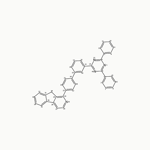 c1ccc(-c2nc(-c3ccccc3)nc(-c3cccc(-c4ccc(-c5nccc6c5Cc5ccccc5-6)cc4)c3)n2)cc1